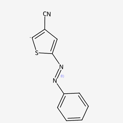 N#Cc1[c]sc(/N=N/c2ccccc2)c1